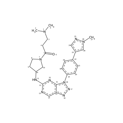 CN(C)CCC(=O)N1CCC(Nc2ncc3nnn(-c4ccc(-c5cnn(C)c5)cc4)c3n2)C1